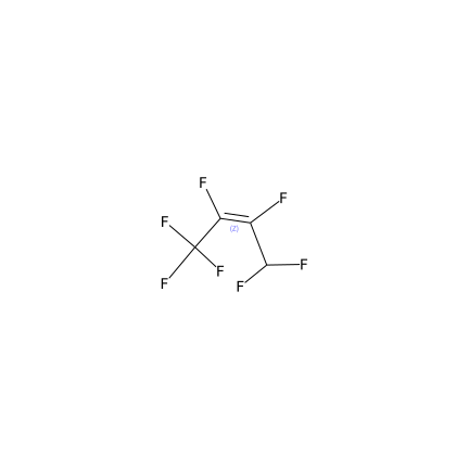 F/C(=C(\F)C(F)(F)F)C(F)F